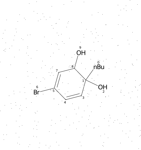 CCCCC1(O)C=CC(Br)=CC1O